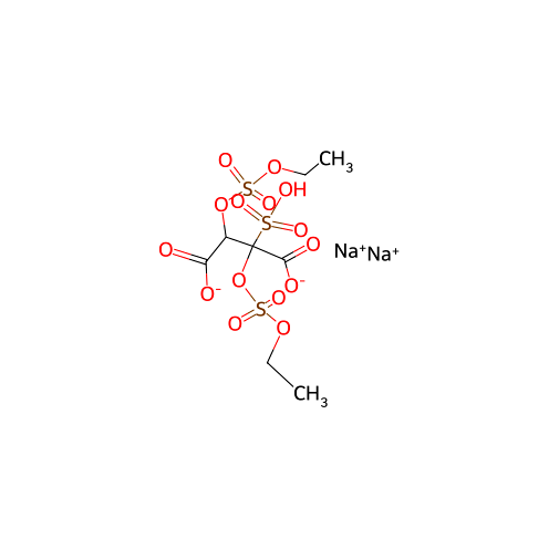 CCOS(=O)(=O)OC(C(=O)[O-])C(OS(=O)(=O)OCC)(C(=O)[O-])S(=O)(=O)O.[Na+].[Na+]